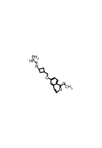 COc1nccc2cc(OCC3CC(/N=P/PP)C3)ccc12